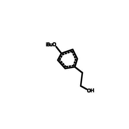 CC(C)COc1ccc(CCO)cc1